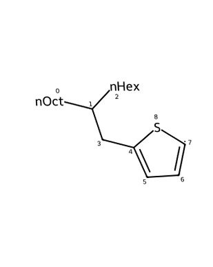 CCCCCCCCC(CCCCCC)Cc1cc[c]s1